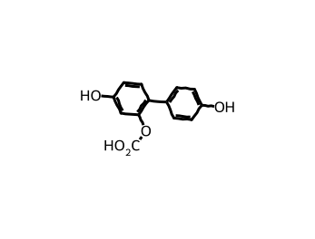 O=C(O)Oc1cc(O)ccc1-c1ccc(O)cc1